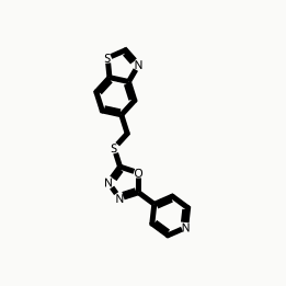 c1cc(-c2nnc(SCc3ccc4scnc4c3)o2)ccn1